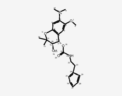 COc1cc2c(cc1N(C)C)OC(C)(C)[C@H](O)[C@H]2OC(=O)NCCc1ccccc1